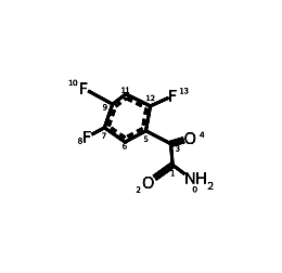 NC(=O)C(=O)c1cc(F)c(F)cc1F